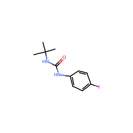 CC(C)(C)NC(=O)Nc1ccc(I)cc1